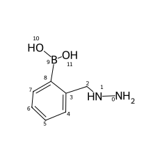 NNCc1ccccc1B(O)O